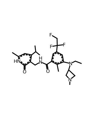 CCN(c1cc(C(F)(F)CF)cc(C(=O)NCc2c(C(C)C)cc(C)[nH]c2=O)c1C)C1CN(C)C1